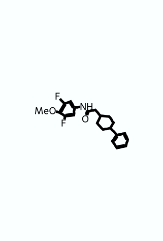 COc1c(F)cc(NC(=O)CC2CCC(c3ccccc3)CC2)cc1F